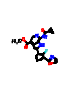 COC(=O)c1cnc(NC(=O)C2CC2)c2[nH]c(-c3cccc(-c4ncco4)c3F)cc12